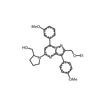 CCOCc1nn2c(-c3cccc(OC)c3)cc(N3CCCC3CO)nc2c1-c1ccc(OC)cc1